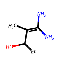 CCC(O)C(C)=C(N)N